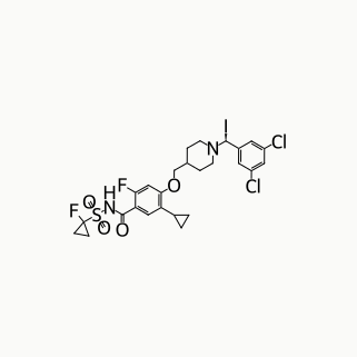 O=C(NS(=O)(=O)C1(F)CC1)c1cc(C2CC2)c(OCC2CCN([C@@H](I)c3cc(Cl)cc(Cl)c3)CC2)cc1F